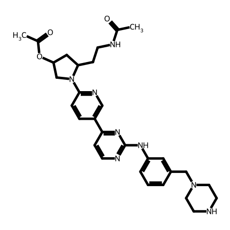 CC(=O)NCCC1CC(OC(C)=O)CN1c1ccc(-c2ccnc(Nc3cccc(CN4CCNCC4)c3)n2)cn1